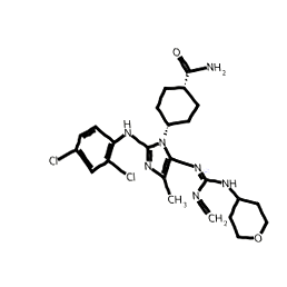 C=N/C(=N\c1c(C)nc(Nc2ccc(Cl)cc2Cl)n1[C@H]1CC[C@@H](C(N)=O)CC1)NC1CCOCC1